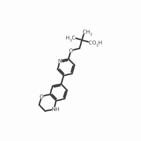 CC(C)(COc1ccc(-c2ccc3c(c2)OCCN3)cn1)C(=O)O